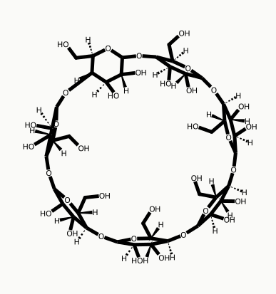 OC[C@H]1OC2O[C@H]3[C@H](O)[C@@H](O)C(OC4[C@@H](CO)OC(O[C@H]5[C@H](O)[C@@H](O)C(O[C@H]6[C@H](O)[C@@H](O)C(O[C@H]7[C@H](O)[C@@H](O)C(O[C@H]8[C@H](O)C(O)C(OC1[C@H](O)[C@H]2O)O[C@@H]8CO)O[C@@H]7CO)O[C@@H]6CO)O[C@@H]5CO)[C@H](O)[C@H]4O)O[C@@H]3CO